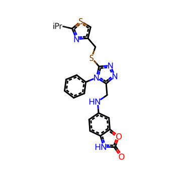 CC(C)c1nc(CSc2nnc(CNc3ccc4[nH]c(=O)oc4c3)n2-c2ccccc2)cs1